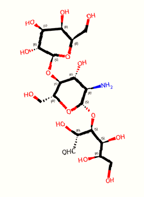 N[C@H]1[C@H](O[C@@H]([C@@H](O)[C@H](O)CO)[C@@H](O)C=O)O[C@H](CO)[C@@H](O[C@@H]2O[C@H](CO)[C@H](O)[C@H](O)[C@H]2O)[C@@H]1O